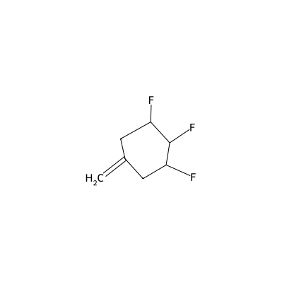 C=C1CC(F)C(F)C(F)C1